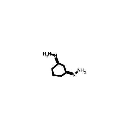 N/N=C1/CCC/C(=N\N)C1